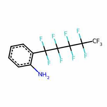 Nc1ccccc1C(F)(F)C(F)(F)C(F)(F)C(F)(F)C(F)(F)F